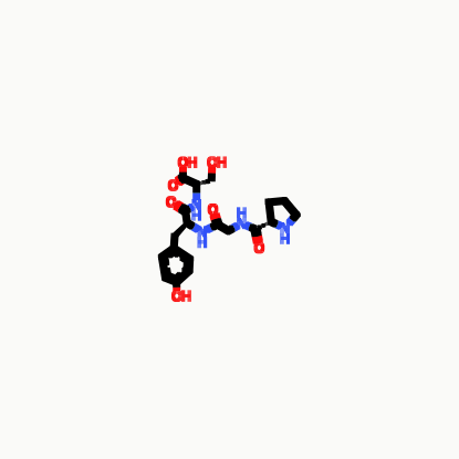 O=C(CNC(=O)[C@@H]1CCCN1)N[C@@H](Cc1ccc(O)cc1)C(=O)N[C@@H](CO)C(=O)O